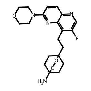 NC12CCC(CCc3c(F)cnc4ccc(N5CCOCC5)nc34)(CC1)OC2